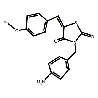 CCOc1ccc(/C=C2/SC(=O)N(Cc3ccc([N+](=O)[O-])cc3)C2=O)cc1